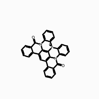 O=c1c2ccccc2c2cc3c4ccccc4c(=O)n4c3c3c2n1-c1ccccc1P3(=O)c1ccccc1-4